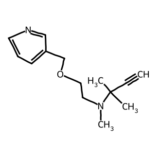 C#CC(C)(C)N(C)CCOCc1cccnc1